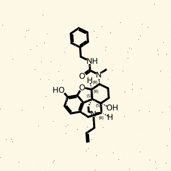 C=CCN1CC[C@]23c4c5ccc(O)c4O[C@H]2[C@H](N(C)C(=O)NCc2ccccc2)CC[C@@]3(O)[C@H]1C5